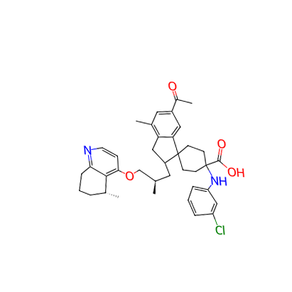 CC(=O)c1cc(C)c2c(c1)C1(CCC(Nc3cccc(Cl)c3)(C(=O)O)CC1)C(C[C@@H](C)COc1ccnc3c1[C@H](C)CCC3)C2